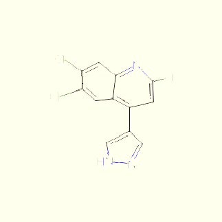 Clc1cc(-c2cn[nH]c2)c2cc(Cl)c(Cl)cc2n1